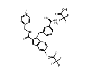 C[n+]1ccc(CNC(=O)c2cc3cc(F)ccc3n2Cc2cccc(C(=N)N)c2)cc1.O=C(O)C(F)(F)F.O=C([O-])C(F)(F)F